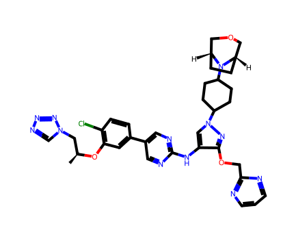 C[C@@H](Cn1cnnn1)Oc1cc(-c2cnc(Nc3cn(C4CCC(N5[C@@H]6CC[C@H]5COC6)CC4)nc3OCc3ncccn3)nc2)ccc1Cl